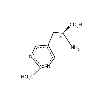 N[C@@H](Cc1cnc(C(=O)O)nc1)C(=O)O